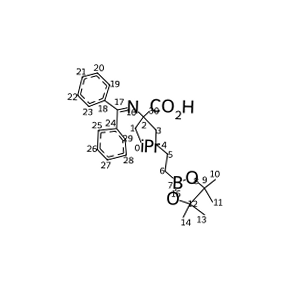 CC(C)CC(CCCCB1OC(C)(C)C(C)(C)O1)(N=C(c1ccccc1)c1ccccc1)C(=O)O